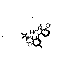 COc1cccc(C(O)c2cc(C)cc3c2N[C@H](C(C)(C)C)CO3)c1OC